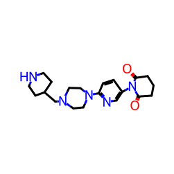 O=C1CCCC(=O)N1c1ccc(N2CCN(CC3CCNCC3)CC2)nc1